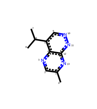 Cc1cnc2c(C(C)C)cnnc2n1